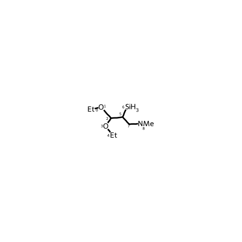 CCOC(OCC)C([SiH3])CNC